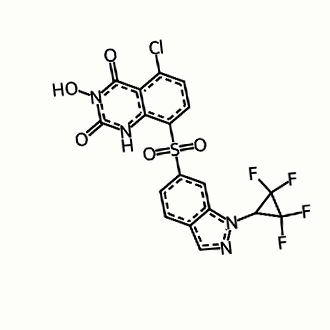 O=c1[nH]c2c(S(=O)(=O)c3ccc4cnn(C5C(F)(F)C5(F)F)c4c3)ccc(Cl)c2c(=O)n1O